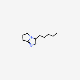 CCCCCC1CN=C2CCCN21